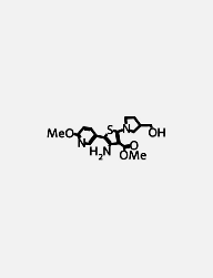 COC(=O)c1c(N2CCC(CO)C2)sc(-c2ccc(OC)nc2)c1N